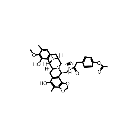 COc1c(C)cc2c(c1O)[C@@H]1[C@@H]3Cc4c(O)c(C)c5c(c4[C@H](CNC(=O)Cc4ccc(OC(C)=O)cc4)N3[C@@H](C#N)[C@H](C2)N1C)OCO5